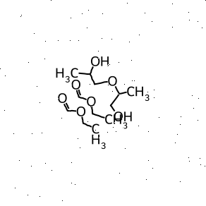 CC(O)COC(C)CO.CCOC=O.CCOC=O